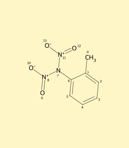 Cc1ccccc1N([N+](=O)[O-])[N+](=O)[O-]